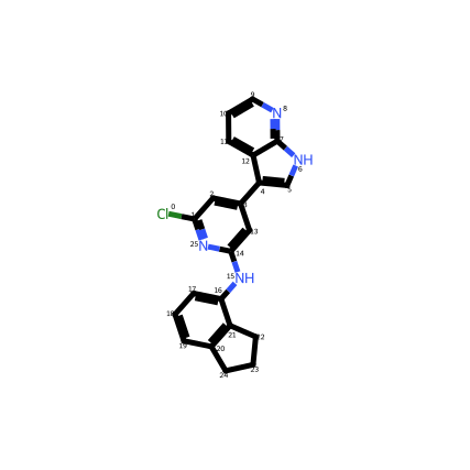 Clc1cc(-c2c[nH]c3ncccc23)cc(Nc2cccc3c2CCC3)n1